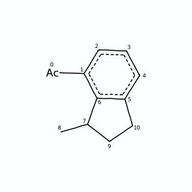 CC(=O)c1cccc2c1C(C)CC2